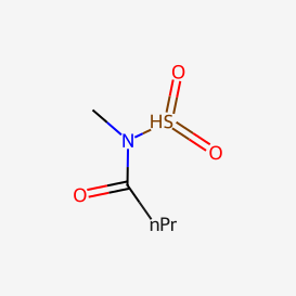 CCCC(=O)N(C)[SH](=O)=O